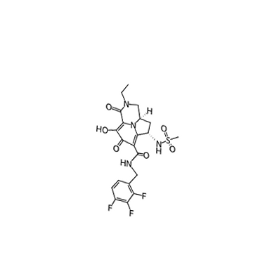 CCN1C[C@H]2C[C@H](NS(C)(=O)=O)c3c(C(=O)NCc4ccc(F)c(F)c4F)c(=O)c(O)c(n32)C1=O